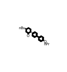 CCCC[C@H]1CC[C@H](c2ccc(-c3ccc(OCCC)cc3)cc2)C(=O)C1